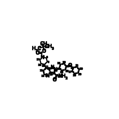 CC(C)(C)OC(=O)N1CCC(c2ccnc3c(C(N)=O)n(-c4ccc(Oc5ccccc5)cc4)nc23)CC1